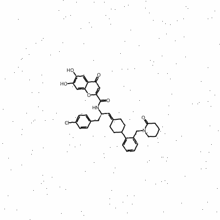 O=C(N[C@@H](C=C1CCC(c2ccccc2CN2CCCCC2=O)CC1)Cc1ccc(Cl)cc1)c1cc(=O)c2cc(O)c(O)cc2o1